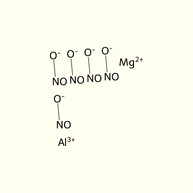 O=N[O-].O=N[O-].O=N[O-].O=N[O-].O=N[O-].[Al+3].[Mg+2]